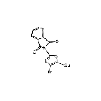 CC(C)(C)c1sc(N2C(=O)c3ccccc3C2=O)nc1Br